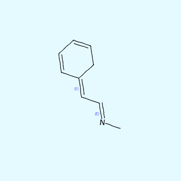 C/N=C/C=C1/C=CC=CC1